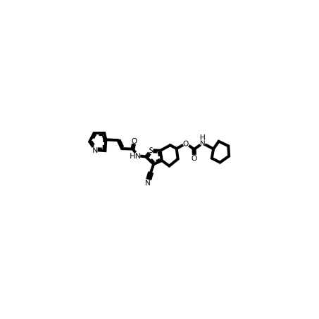 N#Cc1c(NC(=O)C=Cc2cccnc2)sc2c1CCC(OC(=O)NC1CCCCC1)C2